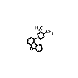 Cc1ccc(-c2cccc3oc4ccccc4c23)cc1C